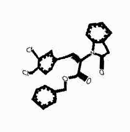 O=C(OCc1ccccc1)C(=Cc1ccc(Cl)c(Cl)c1)N1C(=O)Cc2ccccc21